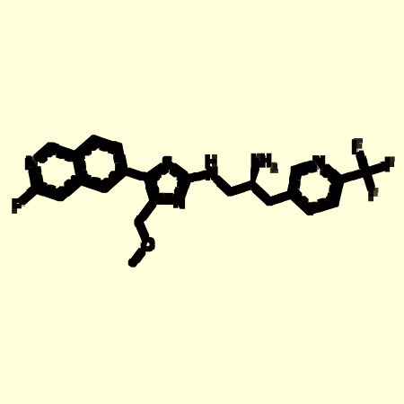 COCc1nc(NC[C@@H](N)Cc2ccc(C(F)(F)F)nc2)sc1-c1ccc2cnc(F)cc2c1